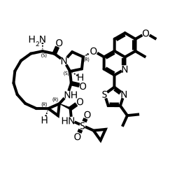 COc1ccc2c(O[C@@H]3C[C@H]4C(=O)N[C@]5(C(=O)NS(=O)(=O)C6CC6)C[C@H]5CCCCCCC[C@H](N)C(=O)N4C3)cc(-c3nc(C(C)C)cs3)nc2c1C